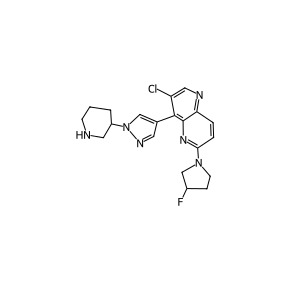 FC1CCN(c2ccc3ncc(Cl)c(-c4cnn(C5CCCNC5)c4)c3n2)C1